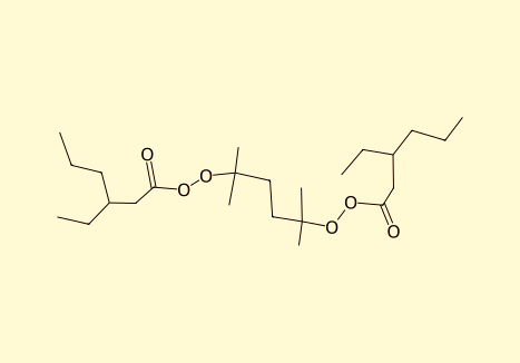 CCCC(CC)CC(=O)OOC(C)(C)CCC(C)(C)OOC(=O)CC(CC)CCC